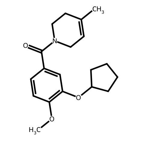 COc1ccc(C(=O)N2CC=C(C)CC2)cc1OC1CCCC1